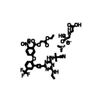 CCNc1nc(Cl)nc(NC(C)(C)C#N)n1.CCOC(=O)COC(=O)c1cc(Oc2ccc(C(F)(F)F)cc2Cl)ccc1[N+](=O)[O-].C[S+](C)C.O=C(O)CNCP(=O)([O-])O